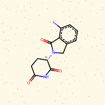 O=C1CC[C@H](N2Cc3cccc(I)c3C2=O)C(=O)N1